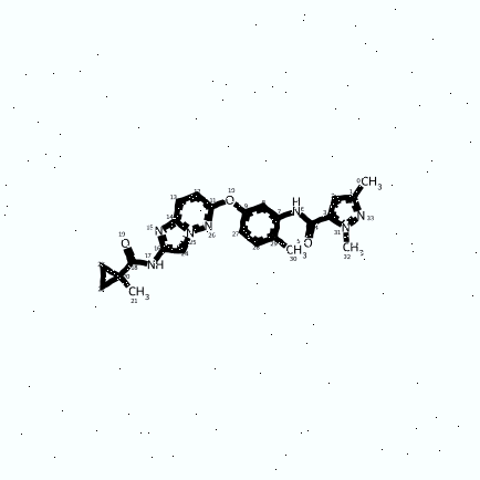 Cc1cc(C(=O)Nc2cc(Oc3ccc4nc(NC(=O)C5(C)CC5)cn4n3)ccc2C)n(C)n1